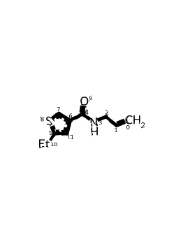 C=CCNC(=O)c1csc(CC)c1